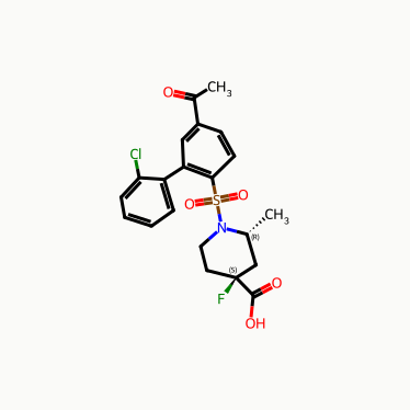 CC(=O)c1ccc(S(=O)(=O)N2CC[C@@](F)(C(=O)O)C[C@H]2C)c(-c2ccccc2Cl)c1